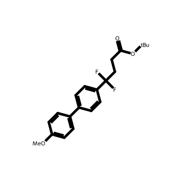 COc1ccc(-c2ccc(C(F)(F)CCC(=O)OC(C)(C)C)cc2)cc1